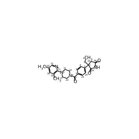 CCC1(c2ccc(C(=O)N3CCN(c4ncc(C)cc4C)CC3)cc2)CC(=O)NC1=O